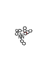 c1ccc(-c2nc(-c3ccc4ccccc4c3)nc(-c3cccc4oc5ccc(-c6cc7ccc8ccccc8c7c7ccccc67)cc5c34)n2)cc1